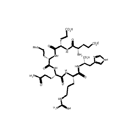 CSCC[C@H](NC(=O)[C@H](CCC(=O)O)NC(=O)[C@@H](N)CCC(=O)O)C(=O)N[C@@H](CCC(N)=O)C(=O)N[C@@H](CCCNC(=N)N)C(=O)N[C@@H](Cc1c[nH]cn1)C(=O)O